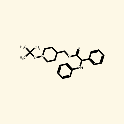 CC(C)(C)ON1CCC(COC(=O)C(Nc2ccccc2)c2ccccc2)CC1